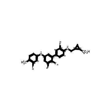 Cc1ccc(Oc2cc(F)c(F)c(-c3ccc(OCC4CC4C(=O)O)c(F)c3)c2)cc1F